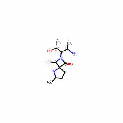 CC1CCC2(N1)C(=O)N([C@H](C(C)N)[C@@H](C)O)C2C